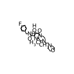 CC1(C)c2nc(C(=O)NCc3ccc(F)cc3)c(O)c(=O)n2CCN1CCN1CCOCC1